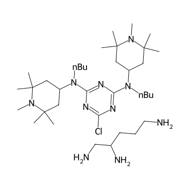 CCCCN(c1nc(Cl)nc(N(CCCC)C2CC(C)(C)N(C)C(C)(C)C2)n1)C1CC(C)(C)N(C)C(C)(C)C1.NCCCC(N)CN